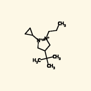 CCC[N+]1=[N+](C2CC2)CC(C(C)(C)C)C1